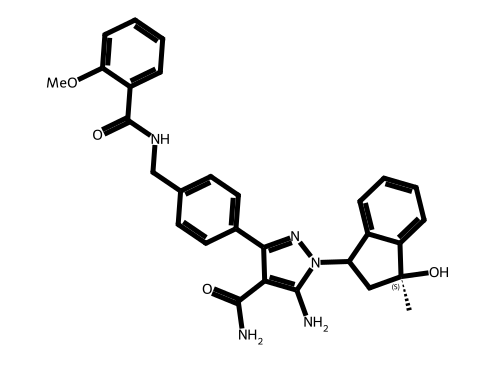 COc1ccccc1C(=O)NCc1ccc(-c2nn(C3C[C@](C)(O)c4ccccc43)c(N)c2C(N)=O)cc1